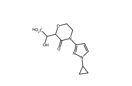 O=C(O)C(O)C1OCCN(c2ccn(C3CC3)n2)C1=O